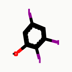 [O]c1cc(I)cc(I)c1I